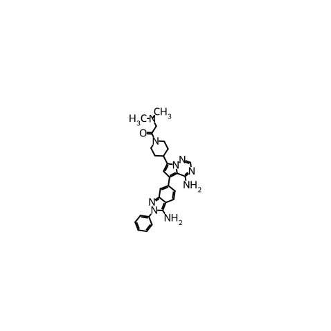 CN(C)CC(=O)N1CCC(c2cc(-c3ccc4c(N)n(-c5ccccc5)nc4c3)c3c(N)ncnn23)CC1